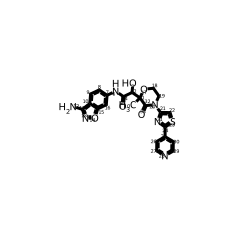 CC1(C(O)C(=O)Nc2ccc3c(N)noc3c2)OCCN(c2csc(-c3ccncc3)n2)C1=O